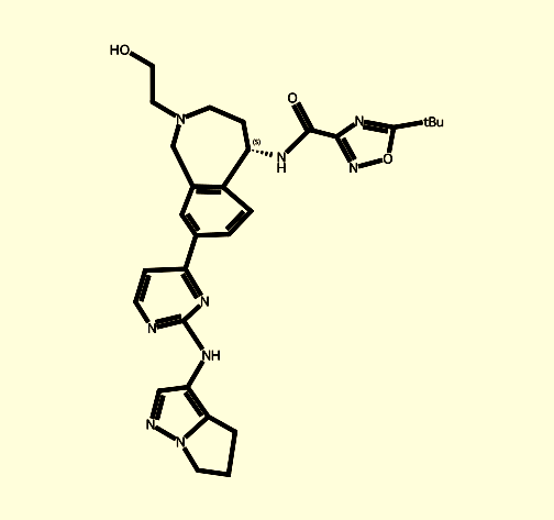 CC(C)(C)c1nc(C(=O)N[C@H]2CCN(CCO)Cc3cc(-c4ccnc(Nc5cnn6c5CCC6)n4)ccc32)no1